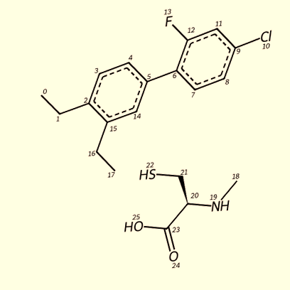 CCc1ccc(-c2ccc(Cl)cc2F)cc1CC.CN[C@H](CS)C(=O)O